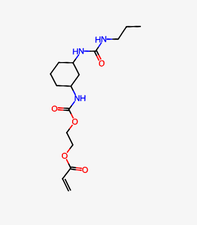 C=CC(=O)OCCOC(=O)NC1CCCC(NC(=O)NCCC)C1